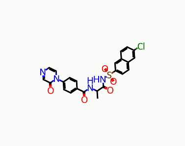 CC(NC(=O)c1ccc(-n2ccncc2=O)cc1)C(=O)NS(=O)(=O)c1ccc2cc(Cl)ccc2c1